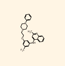 Cc1cc(Nc2cc(OCCN3CCN(c4ccccc4)CC3)cc(C(F)(F)F)c2)c2ccccc2n1